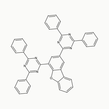 c1ccc(-c2nc(-c3ccccc3)nc(-c3cc(-c4nc(-c5ccccc5)nc(-c5ccccc5)n4)c4oc5ccccc5c4c3)n2)cc1